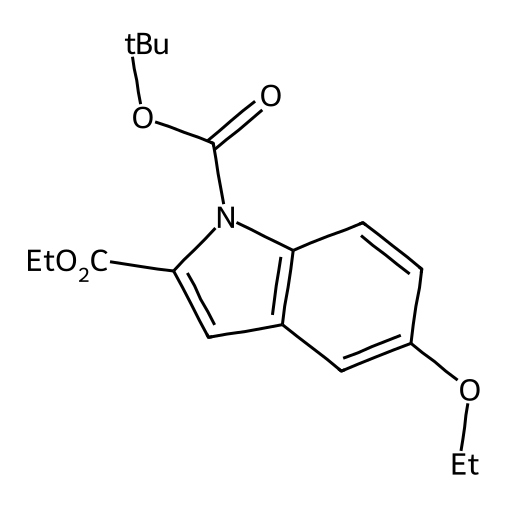 CCOC(=O)c1cc2cc(OCC)ccc2n1C(=O)OC(C)(C)C